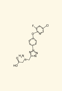 N[C@@H](CC(=O)O)Cc1nnn(-c2ccc(Oc3ncc(Cl)cc3F)cc2)n1